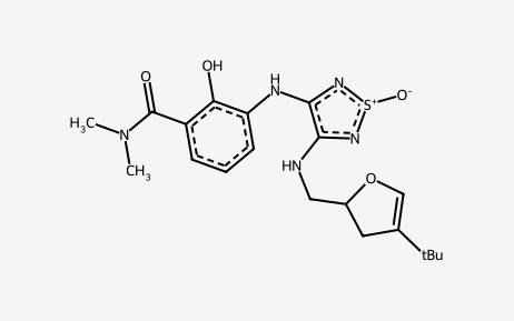 CN(C)C(=O)c1cccc(Nc2n[s+]([O-])nc2NCC2CC(C(C)(C)C)=CO2)c1O